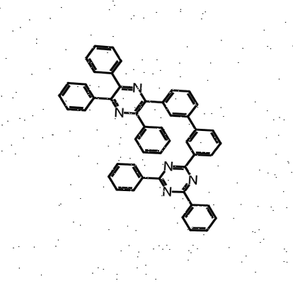 c1ccc(-c2nc(-c3ccccc3)nc(-c3cccc(-c4cccc(-c5nc(-c6ccccc6)c(-c6ccccc6)nc5-c5ccccc5)c4)c3)n2)cc1